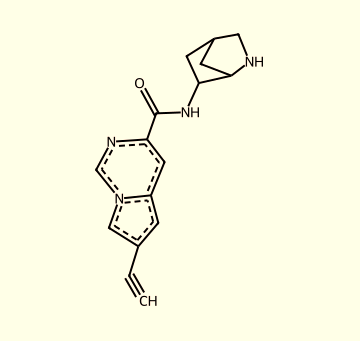 C#Cc1cc2cc(C(=O)NC3CC4CNC3C4)ncn2c1